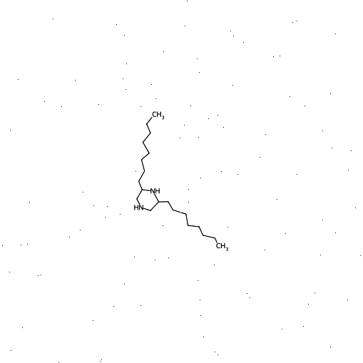 CCCCCCCCC1CNCC(CCCCCCCC)N1